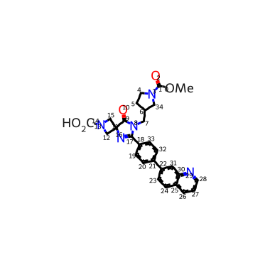 COC(=O)N1CCC(CN2C(=O)C3(CN(C(=O)O)C3)N=C2c2ccc(-c3ccc4cccnc4c3)cc2)C1